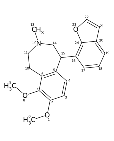 COc1ccc2c(c1OC)CCN(C)CC2c1cccc2ccoc12